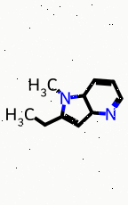 CCC1=CC2N=CC=CC2N1C